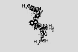 CN(C)CCNC(=O)c1nc(NC(=O)NC2CCC(Oc3ccc4nnc(C(C)(C)N5CCN(C)CC5)n4c3)c3ccccc32)cc(C(C)(C)C)n1